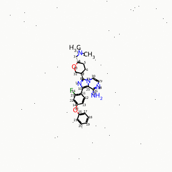 CN(C)C[C@@H]1CC[C@@H](c2nc(-c3ccc(Oc4ccccc4)cc3F)c3c(N)nccn23)CO1